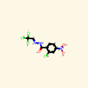 O=C(NN=CC(Cl)(Cl)Cl)c1ccc([N+](=O)[O-])cc1Cl